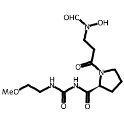 COCCNC(=O)NC(=O)[C@@H]1CCCN1C(=O)CCN(O)C=O